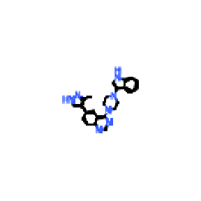 Cc1n[nH]cc1-c1ccc2ncnc(N3CCN(c4c[nH]c5ccccc45)CC3)c2c1